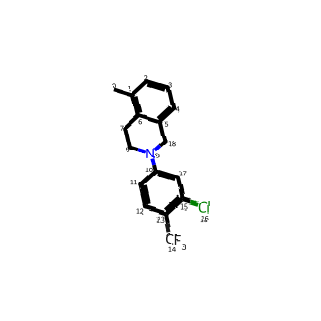 Cc1cccc2c1CCN(c1ccc(C(F)(F)F)c(Cl)c1)C2